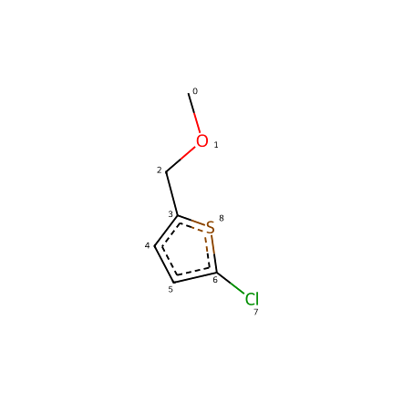 COCc1ccc(Cl)s1